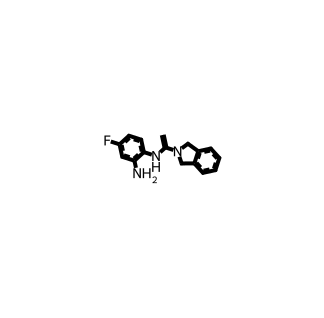 C=C(Nc1ccc(F)cc1N)N1Cc2ccccc2C1